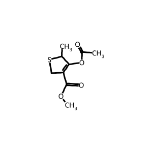 COC(=O)C1=C(OC(C)=O)C(C)SC1